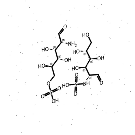 N[C@@H](C=O)[C@@H](O)[C@H](O)[C@H](O)COS(=O)(=O)O.O=C[C@H](NS(=O)(=O)O)[C@@H](O)[C@H](O)[C@H](O)CO